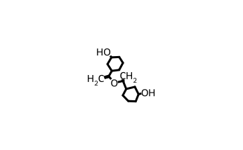 C=C(OC(=C)C1CCCC(O)C1)C1CCCC(O)C1